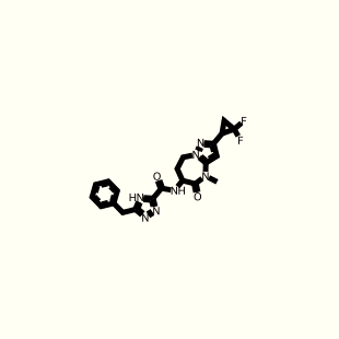 CN1C(=O)C(NC(=O)c2nnc(Cc3ccccc3)[nH]2)CCn2nc(C3CC3(F)F)cc21